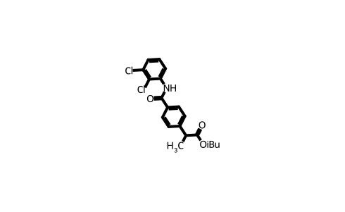 CC(C)COC(=O)C(C)c1ccc(C(=O)Nc2cccc(Cl)c2Cl)cc1